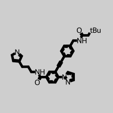 CC(C)(C)CC(=O)NCc1ccc(C#Cc2cc(C(=O)NCCCC3=CCN=C3)ccc2-n2cccn2)cc1